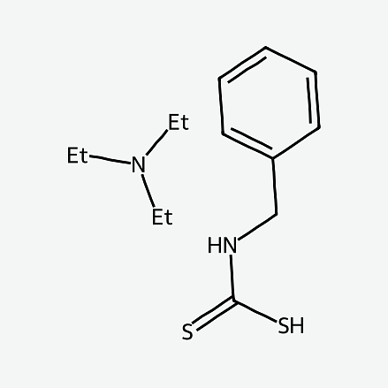 CCN(CC)CC.S=C(S)NCc1ccccc1